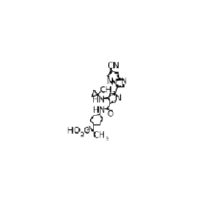 CN(C(=O)O)C1CCC(NC(=O)c2cnc(-c3cnc4cc(C#N)cnn34)cc2NC2(C)CC2)CC1